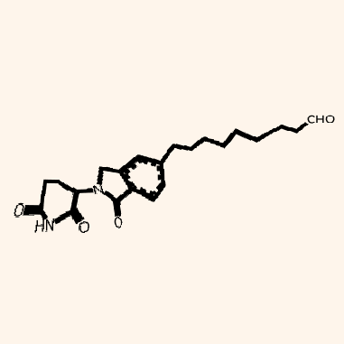 O=CCCCCCCCCc1ccc2c(c1)CN(C1CCC(=O)NC1=O)C2=O